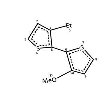 CCc1ccsc1-c1sccc1OC